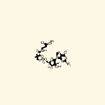 CC(C)OC(=O)CCNC(=O)[C@@H]1OP(=O)(OC[C@H]2O[C@@H](n3cnc4c(Cl)nc(N)nc43)[C@](C)(O)[C@@H]2O)OCC1(C)C